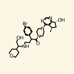 C[C@@H]1C[C@@H](O)c2ncnc(N3CCN(C(=O)C(CCNC(CO)C4CCOCC4)c4ccc(Br)cc4)CC3)c21